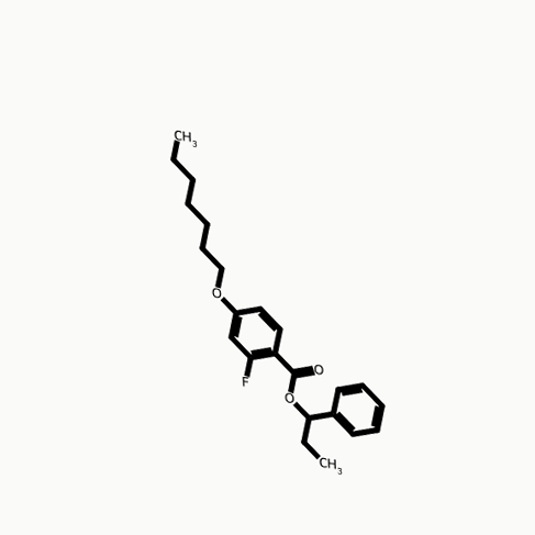 CCCCCCCOc1ccc(C(=O)OC(CC)c2ccccc2)c(F)c1